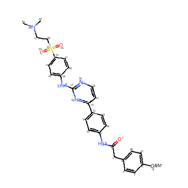 COc1ccc(CC(=O)Nc2ccc(-c3ccnc(Nc4ccc(S(=O)(=O)CCN(C)C)cc4)n3)cc2)cc1